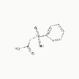 N=[S@](=O)(CC(=O)O)c1ccccc1